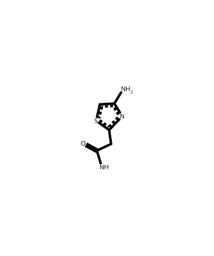 [NH]C(=O)Cc1nc(N)cs1